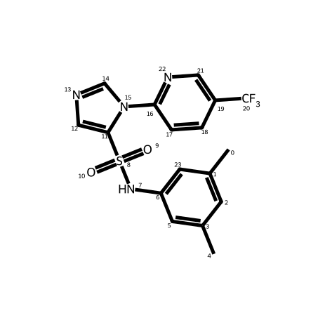 Cc1cc(C)cc(NS(=O)(=O)c2cncn2-c2ccc(C(F)(F)F)cn2)c1